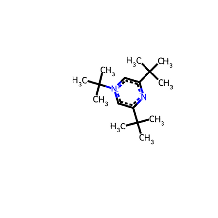 CC(C)(C)c1c[n+](C(C)(C)C)cc(C(C)(C)C)n1